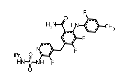 Cc1ccc(Nc2c(C(N)=O)cc(Cc3ccnc(NS(=O)(=O)NC(C)C)c3F)c(F)c2F)c(F)c1